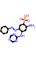 Nc1cc(Nc2ncncn2)c(N=Nc2ccccc2)cc1S(=O)(=O)O